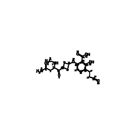 CNC(CC(N)=O)C(=O)N1CC(Oc2ccc(CCB=O)c(O)c2C(=O)O)C1